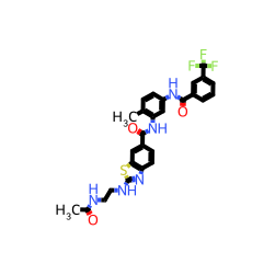 CC(=O)NCCNc1nc2ccc(C(=O)Nc3cc(NC(=O)c4cccc(C(F)(F)F)c4)ccc3C)cc2s1